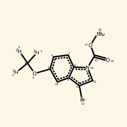 [2H]C([2H])([2H])Oc1ccc2c(c1)c(Br)cn2C(=O)OC(C)(C)C